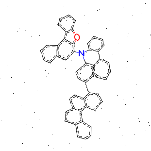 c1ccc(-c2ccccc2N(c2ccc(-c3cccc4c3ccc3ccc5ccccc5c34)cc2)c2cc3ccccc3c3c2oc2ccccc23)cc1